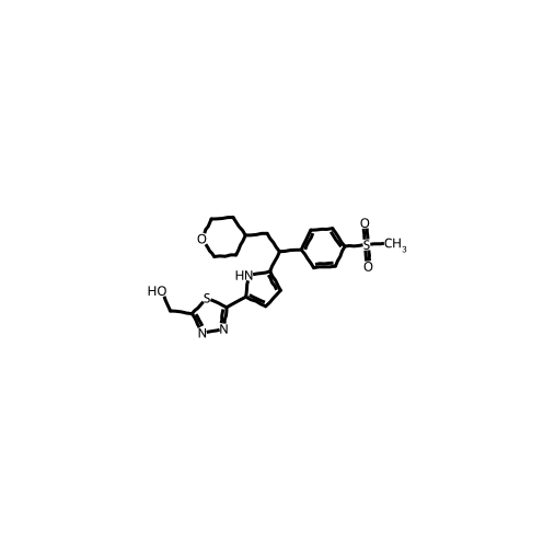 CS(=O)(=O)c1ccc(C(CC2CCOCC2)c2ccc(-c3nnc(CO)s3)[nH]2)cc1